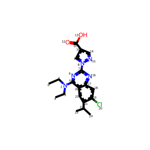 CCN(CC)c1nc(-n2cc(C(=O)O)cn2)nc2cc(Cl)c(C(C)C)cc12